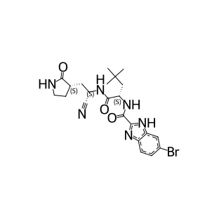 CC(C)(C)C[C@H](NC(=O)c1nc2ccc(Br)cc2[nH]1)C(=O)N[C@H](C#N)C[C@@H]1CCNC1=O